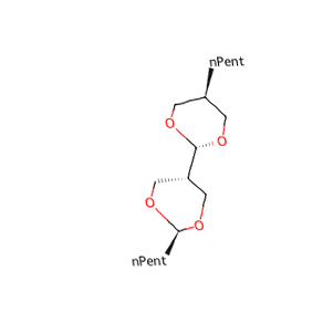 CCCCC[C@H]1CO[C@H]([C@H]2CO[C@H](CCCCC)OC2)OC1